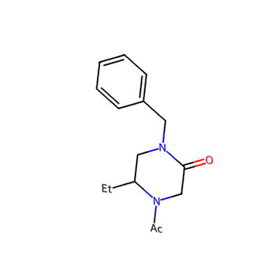 CCC1CN(Cc2ccccc2)C(=O)CN1C(C)=O